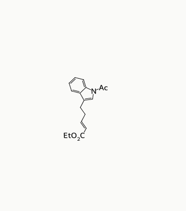 CCOC(=O)/C=C/CCc1cn(C(C)=O)c2ccccc12